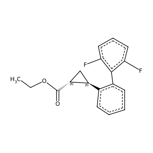 CCOC(=O)[C@@H]1C[C@H]1c1ccccc1-c1c(F)cccc1F